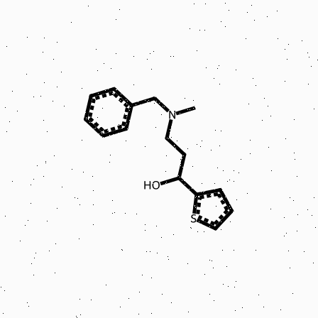 CN(CCC(O)c1cccs1)Cc1ccccc1